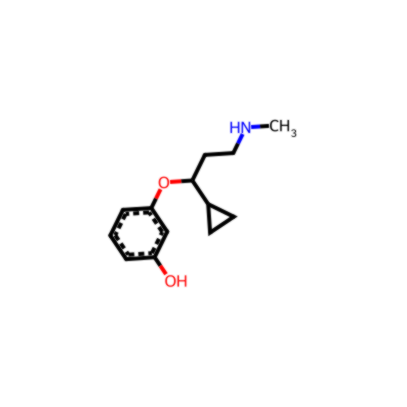 CNCCC(Oc1cccc(O)c1)C1CC1